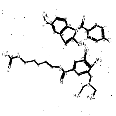 CCN(CC)Cc1cc(C(=O)OCCCCCOC(C)=O)cc(Br)c1N.COc1ccc2c(c1)cc(C)n2C(=O)c1ccc(Cl)cc1